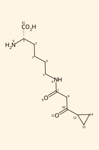 N[C@@H](CCCCNC(=O)CC(=O)C1CC1)C(=O)O